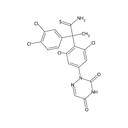 CC(C(N)=S)(c1ccc(Cl)c(Cl)c1)c1c(Cl)cc(-n2ncc(=O)[nH]c2=O)cc1Cl